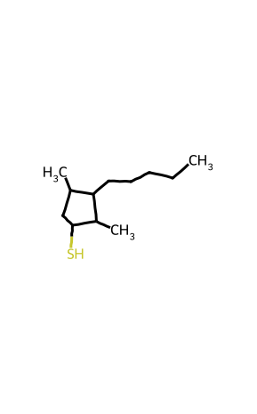 CCCCCC1C(C)CC(S)C1C